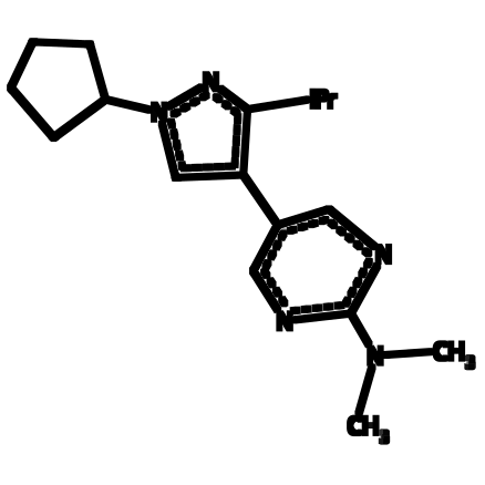 CC(C)c1nn(C2CCCC2)cc1-c1cnc(N(C)C)nc1